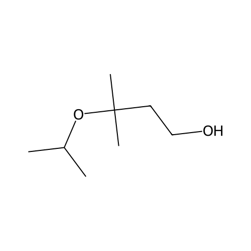 CC(C)OC(C)(C)CCO